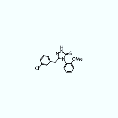 COc1ccccc1-n1c(Cc2cccc(Cl)c2)n[nH]c1=S